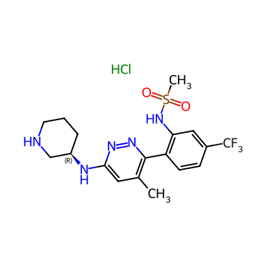 Cc1cc(N[C@@H]2CCCNC2)nnc1-c1ccc(C(F)(F)F)cc1NS(C)(=O)=O.Cl